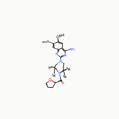 [2H]C1([2H])CN(c2nc(N)c3cc(OC)c(OC)cc3n2)CC([2H])([2H])N1C(=O)C1CCCO1